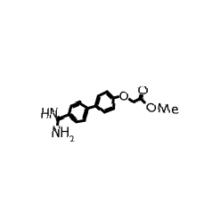 COC(=O)COc1ccc(-c2ccc(C(=N)N)cc2)cc1